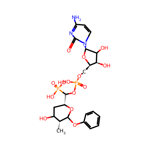 C[C@@H]1C(O)C[C@H](C(OP(=O)(O)OC[C@H]2O[C@@H](n3ccc(N)nc3=O)C(O)[C@H]2O)P(=O)(O)O)OC1Oc1ccccc1